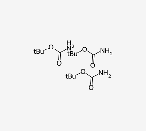 CC(C)(C)OC(N)=O.CC(C)(C)OC(N)=O.CC(C)(C)OC(N)=O